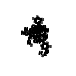 COc1ccc(C2O[C@H]3C[C@H]4OC[C@@]4(O)[C@H]4[C@H](OC(=O)c5ccccc5)[C@]5(C(C)(C)O)C[C@H](O)C(C)=C5[C@@H](O)[C@H](O2)[C@]34C)cc1